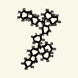 c1cc(-c2cccc(N(c3ccc4c(c3)sc3ccccc34)c3cccc4ccccc34)c2)cc(N(c2ccc3c(c2)sc2ccccc23)c2cccc3ccccc23)c1